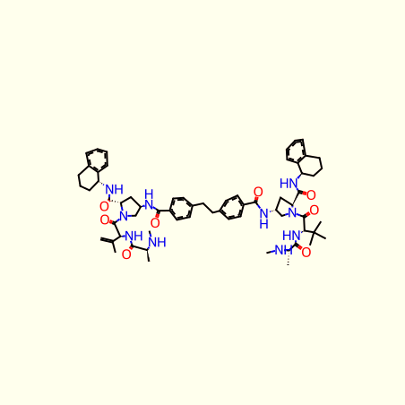 C=C(C)[C@H](NC(=O)[C@H](C)NC)C(=O)N1C[C@H](NC(=O)c2ccc(CCc3ccc(C(=O)N[C@@H]4C[C@@H](C(=O)N[C@@H]5CCCc6ccccc65)N(C(=O)[C@@H](NC(=O)[C@H](C)NC)C(C)(C)C)C4)cc3)cc2)C[C@H]1C(=O)N[C@@H]1CCCc2ccccc21